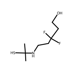 CC(C)(S)NCCC(F)(F)CCO